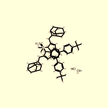 CC(C)(C)c1ccc(-c2cccc3c2C=C(CC2C4CC5CC(C4)CC2C5)[CH]3[Zr]([CH3])([CH3])(=[SiH2])[CH]2C(CC3C4CC5CC(C4)CC3C5)=Cc3c(-c4ccc(C(C)(C)C)cc4)cccc32)cc1.Cl.Cl